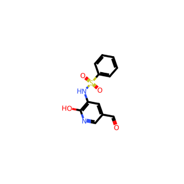 O=Cc1cnc(O)c(NS(=O)(=O)c2ccccc2)c1